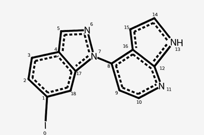 Ic1ccc2cnn(-c3ccnc4[nH]ccc34)c2c1